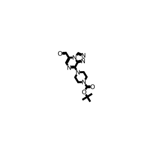 CC(C)(C)OC(=O)N1CCN(c2ncc(C=O)n3cnnc23)CC1